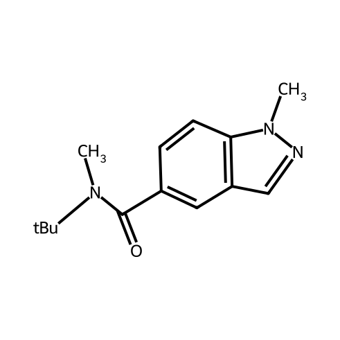 CN(C(=O)c1ccc2c(cnn2C)c1)C(C)(C)C